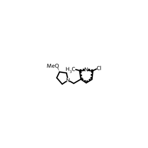 CO[C@H]1CCN(Cc2ccc(Cl)nc2C)C1